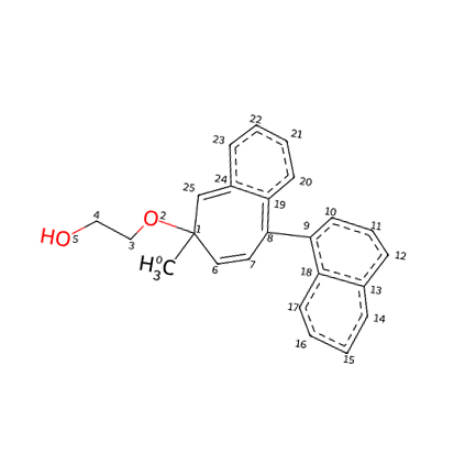 CC1(OCCO)C=CC(c2cccc3ccccc23)=c2ccccc2=C1